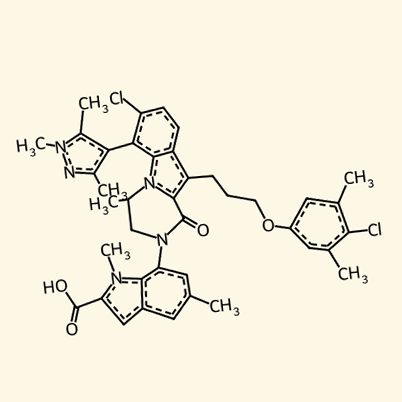 Cc1cc(N2CC(C)n3c(c(CCCOc4cc(C)c(Cl)c(C)c4)c4ccc(Cl)c(-c5c(C)nn(C)c5C)c43)C2=O)c2c(c1)cc(C(=O)O)n2C